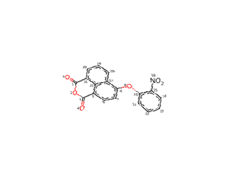 O=C1OC(=O)c2ccc(Oc3ccccc3[N+](=O)[O-])c3cccc1c23